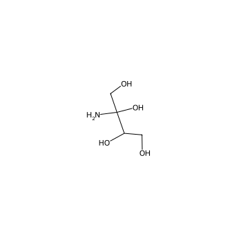 NC(O)(CO)C(O)CO